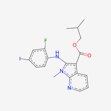 CC(C)COC(=O)c1c(Nc2ccc(I)cc2F)n(C)c2ncccc12